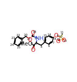 COC(=O)C(Cc1ccc(OS(C)(=O)=O)cc1)NC(=O)OCc1ccccc1